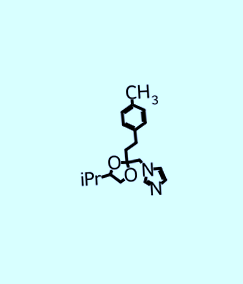 Cc1ccc(CCC2(Cn3ccnc3)OCC(C(C)C)O2)cc1